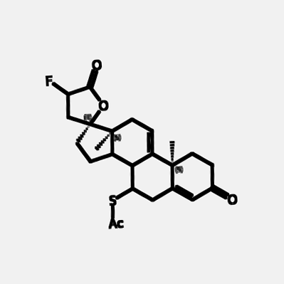 CC(=O)SC1CC2=CC(=O)CC[C@]2(C)C2=CC[C@@]3(C)C(CC[C@@]34CC(F)C(=O)O4)C21